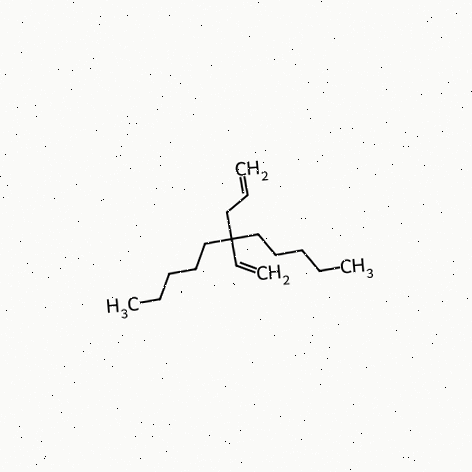 C=CCC(C=C)(CCCCC)CCCCC